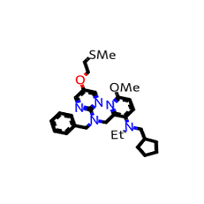 CCN(CC1CCCC1)c1ccc(OC)nc1CN(Cc1ccccc1)c1ncc(OCCSC)cn1